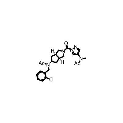 CC(=O)N(C)c1cnn(C(=O)N2C[C@H]3C[C@@H](N(Cc4ccccc4Cl)C(C)=O)C[C@H]3C2)c1